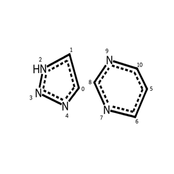 c1c[nH]nn1.c1cncnc1